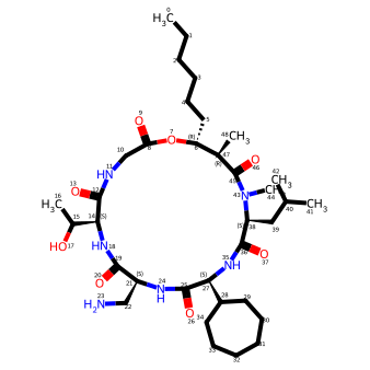 CCCCCC[C@H]1OC(=O)CNC(=O)[C@H](C(C)O)NC(=O)[C@H](CN)NC(=O)[C@H](C2CCCCCC2)NC(=O)[C@H](CC(C)C)N(C)C(=O)[C@@H]1C